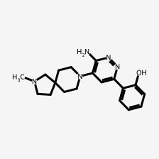 CN1CCC2(CCN(c3cc(-c4ccccc4O)nnc3N)CC2)C1